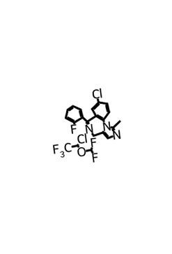 Cc1ncc2n1-c1ccc(Cl)cc1C(c1ccccc1F)=NC2.FC(F)OC(Cl)C(F)(F)F